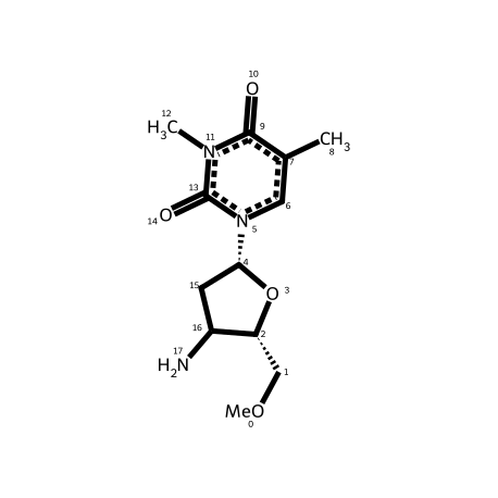 COC[C@H]1O[C@@H](n2cc(C)c(=O)n(C)c2=O)CC1N